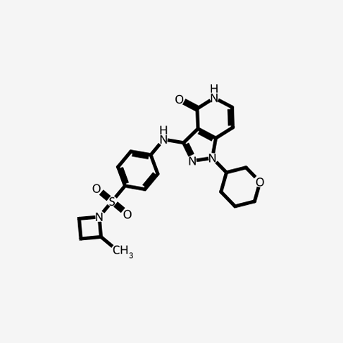 CC1CCN1S(=O)(=O)c1ccc(Nc2nn(C3CCCOC3)c3cc[nH]c(=O)c23)cc1